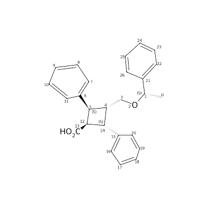 C[C@H](OC[C@H]1[C@H](c2ccccc2)[C@H](C(=O)O)[C@H]1c1ccccc1)c1ccccc1